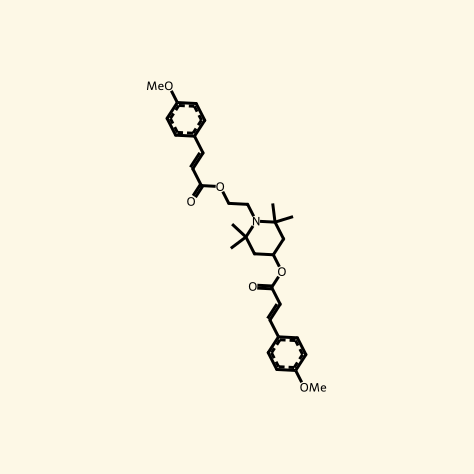 COc1ccc(C=CC(=O)OCCN2C(C)(C)CC(OC(=O)C=Cc3ccc(OC)cc3)CC2(C)C)cc1